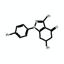 CC(C)c1ccc(-n2nc(C(C)C)c3c2CC(C(C)C)CC3=O)cc1